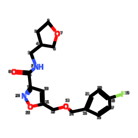 O=C(NCC1CCOC1)c1cc(COCc2ccc(F)cc2)on1